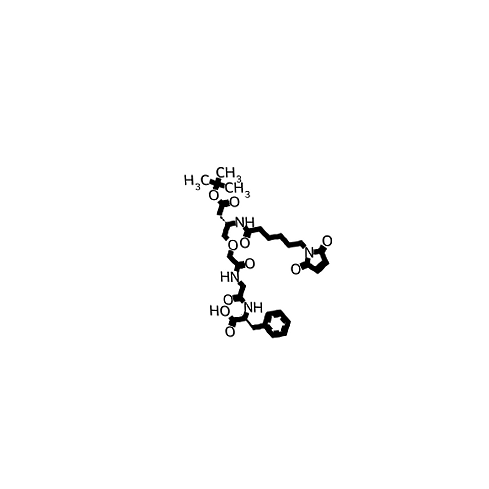 CC(C)(C)OC(=O)C[C@@H](COCC(=O)NCC(=O)N[C@@H](Cc1ccccc1)C(=O)O)NC(=O)CCCCCN1C(=O)C=CC1=O